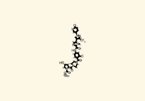 Cn1c(-c2cn(-c3ccc(Cl)nc3)nc2C(F)(F)F)cnc1C(=O)Nc1ccc(C(=O)N2CCN(C(=O)[C@@H]3C[C@@H](O)CN3C(=O)OC(C)(C)C)CC2)c(Cl)c1